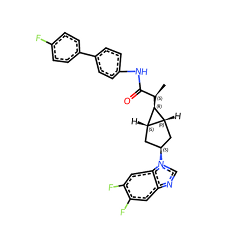 C[C@H](C(=O)Nc1ccc(-c2ccc(F)cc2)cc1)[C@H]1[C@@H]2C[C@@H](n3cnc4cc(F)c(F)cc43)C[C@@H]21